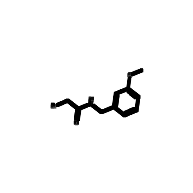 COc1cccc(CNC(=O)CBr)c1